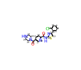 O=C(Nc1nc(-c2ccccc2Cl)cs1)c1ccc(C(=O)N2CCNCC2)cn1